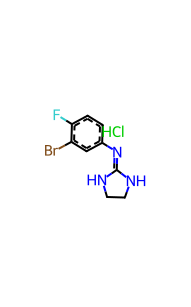 Cl.Fc1ccc(N=C2NCCN2)cc1Br